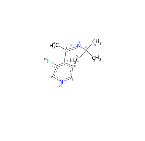 C/C(=N/C(C)(C)C)c1ccncc1F